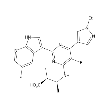 CCn1cc(-c2nc(-c3c[nH]c4ncc(F)cc34)nc(N[C@@H](C)[C@H](C)C(=O)O)c2F)cn1